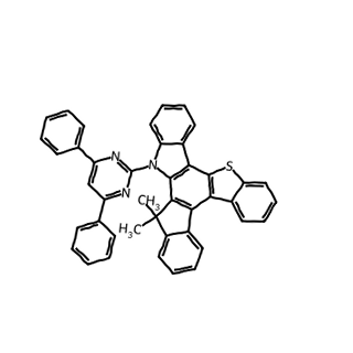 CC1(C)c2ccccc2-c2c1c1c(c3ccccc3n1-c1nc(-c3ccccc3)cc(-c3ccccc3)n1)c1sc3ccccc3c21